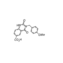 COc1ccc(Cn2c(=O)[nH]c3ccc(C(=O)O)cc3c2=O)cc1